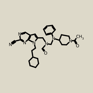 CC(=O)N1CCC(N(CN(C=O)Cc2cc3cnc(C#N)nc3n2CCC2CCCCC2)c2ccccc2)CC1